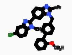 CCCc1nc2ccc(-c3nc4cc(Cl)ccc4n3C)cc2n1Cc1ccc(-c2ccccc2OC(=O)O)cc1